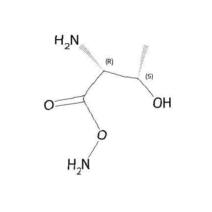 C[C@H](O)[C@@H](N)C(=O)ON